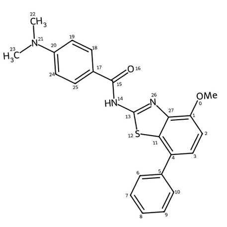 COc1ccc(-c2ccccc2)c2sc(NC(=O)c3ccc(N(C)C)cc3)nc12